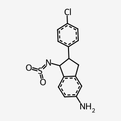 Nc1ccc2c(c1)CC(c1ccc(Cl)cc1)C2N=S(=O)=O